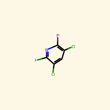 Fc1nc([P])c(Cl)cc1Cl